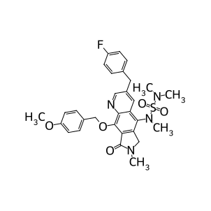 COc1ccc(COc2c3c(c(N(C)S(=O)(=O)N(C)C)c4cc(Cc5ccc(F)cc5)cnc24)CN(C)C3=O)cc1